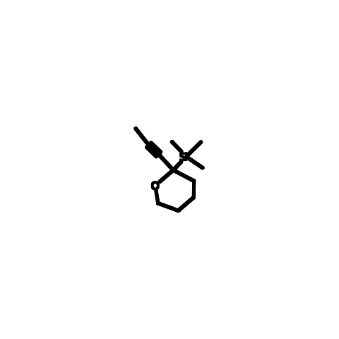 CC#CC1([Si](C)(C)C)CCCCO1